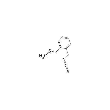 CSCc1ccccc1CN=C=S